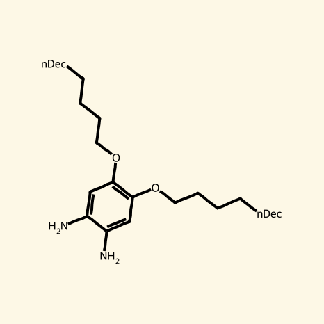 CCCCCCCCCCCCCCOc1cc(N)c(N)cc1OCCCCCCCCCCCCCC